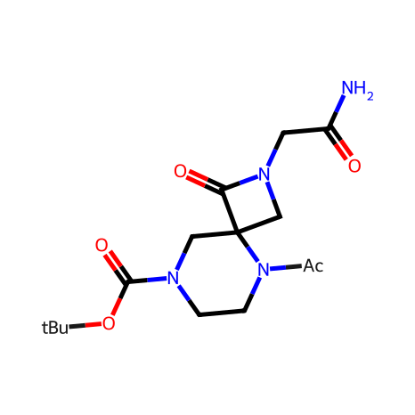 CC(=O)N1CCN(C(=O)OC(C)(C)C)CC12CN(CC(N)=O)C2=O